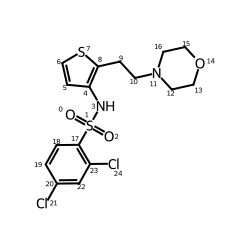 O=S(=O)(Nc1ccsc1CCN1CCOCC1)c1ccc(Cl)cc1Cl